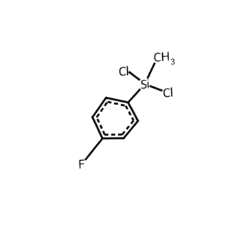 C[Si](Cl)(Cl)c1ccc(F)cc1